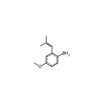 Bc1ccc(OC)cc1C=C(C)C